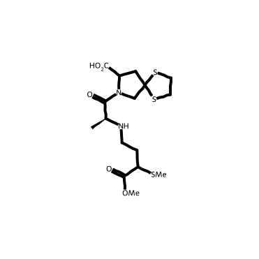 COC(=O)C(CCN[C@@H](C)C(=O)N1CC2(CC1C(=O)O)SCCS2)SC